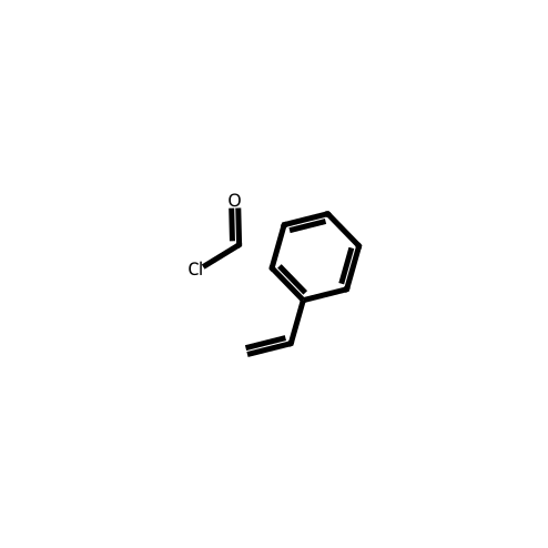 C=Cc1ccccc1.O=CCl